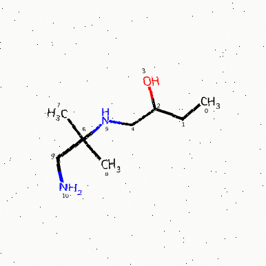 CCC(O)CNC(C)(C)CN